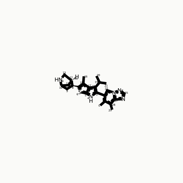 Cc1c(-c2[nH]c3sc([C@H]4CC5C[C@H]4CN5)c(C)c3c2C(C)C)cn2ncnc2c1C